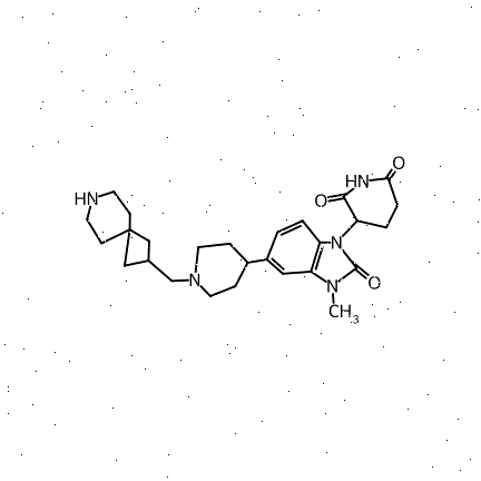 Cn1c(=O)n(C2CCC(=O)NC2=O)c2ccc(C3CCN(CC4CC5(CCNCC5)C4)CC3)cc21